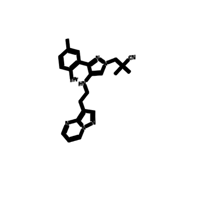 CCCc1ccc(C)cc1-c1nn(CC(C)(C)C#N)cc1NCCc1cnn2cccnc12